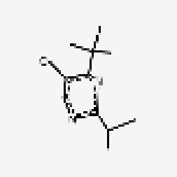 CC(C)c1ncc(Cl)c(C(C)(C)C)n1